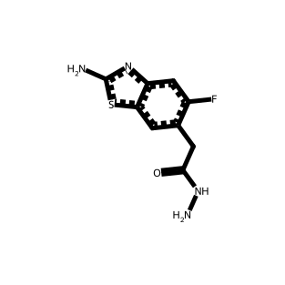 NNC(=O)Cc1cc2sc(N)nc2cc1F